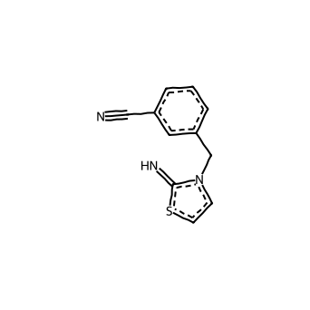 N#Cc1cccc(Cn2ccsc2=N)c1